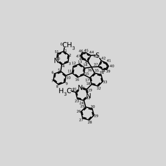 Cc1ccc(-c2ccccc2-c2ccc3c(c2)-c2c(-c4nc(C)cc(-c5ccccc5)n4)cccc2C32c3ccccc3Sc3ccccc32)nc1